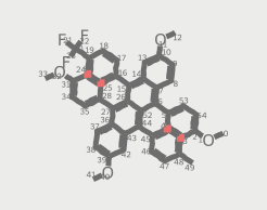 COc1ccc(-c2c3ccc(OC)cc3c(-c3ccc(C(F)(F)F)cc3)c3c(-c4ccc(OC)cc4)c4ccc(OC)cc4c(-c4ccc(C)cc4)c23)cc1